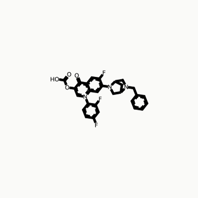 O=C(O)Oc1cn(-c2ccc(F)cc2F)c2cc(N3CC4CC3CN4Cc3ccccc3)c(F)cc2c1=O